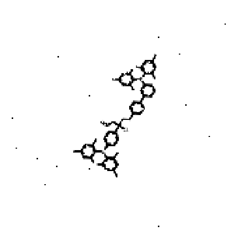 C=CCC(CC)(CCc1ccc(-c2cccc(B(c3c(C)cc(C)cc3C)c3c(C)cc(C)cc3C)c2)cc1)c1ccc(B(c2c(C)cc(C)cc2C)c2c(C)cc(C)cc2C)cc1